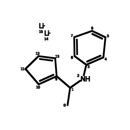 CC(Nc1ccccc1)C1=CCC=C1.[Li].[Li]